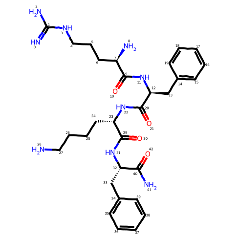 N=C(N)NCCC[C@@H](N)C(=O)N[C@@H](Cc1ccccc1)C(=O)N[C@@H](CCCCN)C(=O)N[C@@H](Cc1ccccc1)C(N)=O